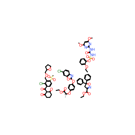 CCOC(=O)C1=NOC(c2ccccc2)(c2ccccc2)C1.CCOC(=O)[C@@H](C)Oc1ccc(Oc2nc3ccc(Cl)cc3o2)cc1.CCOc1ccccc1OS(=O)(=O)NC(=O)Nc1nc(OC)cc(OC)n1.CS(=O)(=O)c1ccc(C(=O)C2C(=O)CCCC2=O)c(Cl)c1COCC1CCCO1